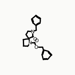 O=C(OCc1ccccc1)N1CCCC12CCN(Cc1ccccc1)C2=O